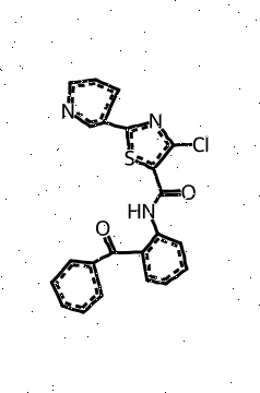 O=C(c1ccccc1)c1ccccc1NC(=O)c1sc(-c2cccnc2)nc1Cl